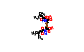 CC(C)CC(=O)C(=O)NC(CSSCC(NC(=O)C(=O)CC(C)C)C(=O)O)C(=O)O